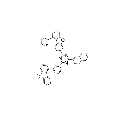 CC1(C)c2ccccc2-c2c(-c3cccc(-c4nc(-c5ccc6ccccc6c5)nc(-c5ccc6c(c5)oc5cccc(-c7ccccc7)c56)n4)c3)cccc21